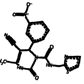 CC1=C(C#N)C(c2cccc([N+](=O)[O-])c2)N(C(=O)Nc2nccs2)C(=O)N1